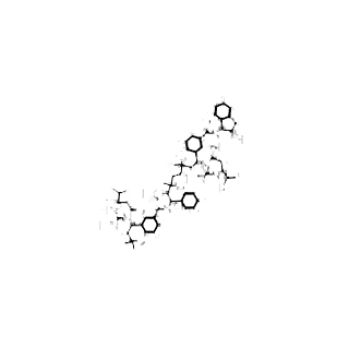 CC(C)[C@]1(C)CC(=O)N([C@@H]2CC(C)(C)Oc3ccc(C(=O)N[C@@H]4c5ccccc5OC(C)(CCC5(C)C[C@@H](N6C(=N)N[C@](C)(C(C)C)CC6=O)c6cc(C(=O)N[C@@H]7c8ccccc8C[C@H]7O)ccc6O5)[C@H]4O)cc32)C(=N)N1